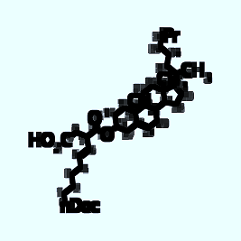 CCCCCCCCCCCCCCC=CC(CC(=O)O)C(=O)OC1CC[C@@]2(C)C(=CCC3C2CC[C@@]2(C)C3CC[C@@H]2[C@H](C)CCCC(C)C)C1